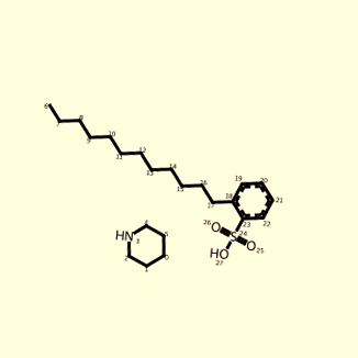 C1CCNCC1.CCCCCCCCCCCCc1ccccc1S(=O)(=O)O